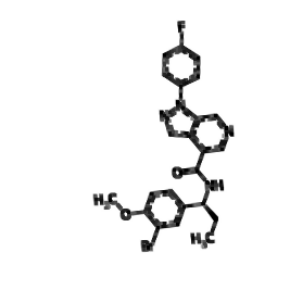 CC[C@H](NC(=O)c1cncc2c1cnn2-c1ccc(F)cc1)c1ccc(OC)c(Br)c1